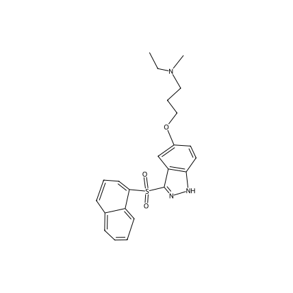 CCN(C)CCCOc1ccc2[nH]nc(S(=O)(=O)c3cccc4ccccc34)c2c1